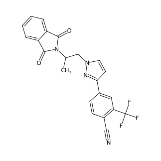 CC(Cn1ccc(-c2ccc(C#N)c(C(F)(F)F)c2)n1)N1C(=O)c2ccccc2C1=O